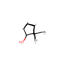 CCCC1(CC)CCCC1O